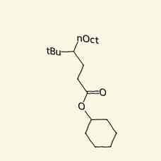 CCCCCCCCC(CCC(=O)OC1CCCCC1)C(C)(C)C